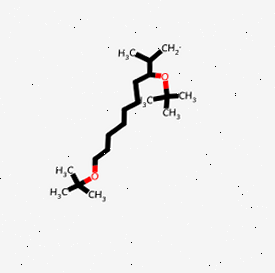 [CH2]C(C)C(CCCCCCCOC(C)(C)C)OC(C)(C)C